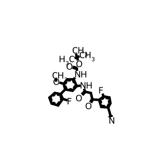 COc1cc(NC(=O)OC(C)(C)C)c(NC(=O)CC(=O)c2cc(C#N)ccc2F)cc1-c1ccccc1F